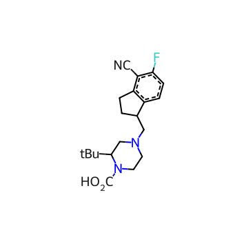 CC(C)(C)C1CN(CC2CCc3c2ccc(F)c3C#N)CCN1C(=O)O